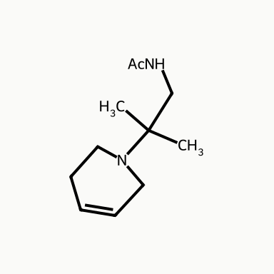 CC(=O)NCC(C)(C)N1CC=CCC1